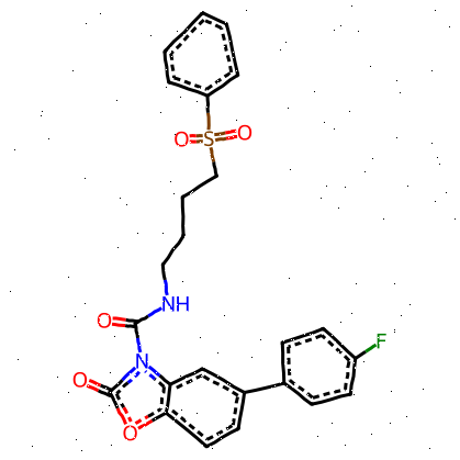 O=C(NCCCCS(=O)(=O)c1ccccc1)n1c(=O)oc2ccc(-c3ccc(F)cc3)cc21